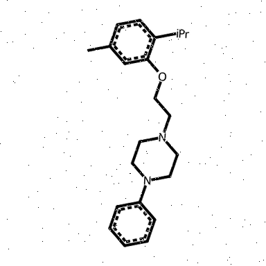 Cc1ccc(C(C)C)c(OCCN2CCN(c3ccccc3)CC2)c1